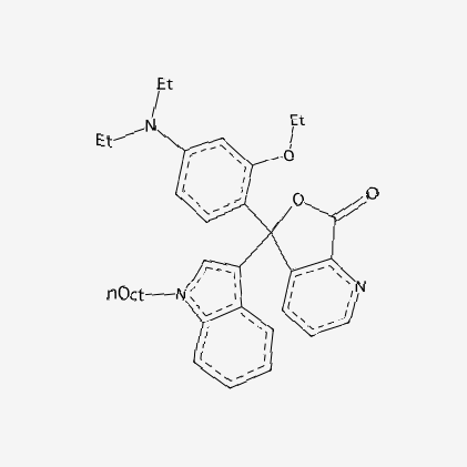 CCCCCCCCn1cc(C2(c3ccc(N(CC)CC)cc3OCC)OC(=O)c3ncccc32)c2ccccc21